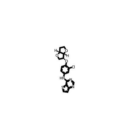 Clc1cc(Nc2ncnc3ccsc23)ccc1O[C@H]1CO[C@@H]2CCO[C@H]12